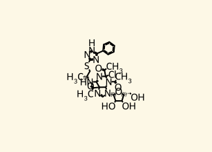 CC(=O)N1C2N([C@@H]3O[C@H](CO)C(O)C3O)C=NC2(C(C)=O)C(N[C@H](C)CSc2n[nH]c(-c3ccccc3)n2)=NC1(Cl)C(C)=O